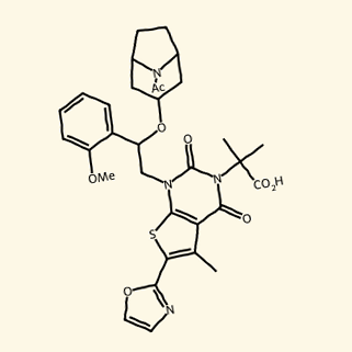 COc1ccccc1C(Cn1c(=O)n(C(C)(C)C(=O)O)c(=O)c2c(C)c(-c3ncco3)sc21)OC1CC2CCC(C1)N2C(C)=O